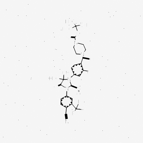 CC(C)(C)OC(=O)N1CCN(C(=O)c2ccc(N3C(=S=O)N(c4ccc(C#N)c(C(F)(F)F)c4)C(=O)C3(C)C)cc2F)CC1